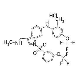 CNCc1cn(S(=O)(=O)c2cccc(OC(F)(F)F)c2)c2cc(Nc3ccc(OC(F)(F)F)cc3C)ccc12.Cl